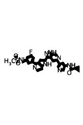 CS(=O)(=O)NCc1cc(F)cc(-c2nccc3[nH]c(-c4n[nH]c5cnc(-c6cncc(NC(=O)C7CC7)c6)cc45)cc23)c1